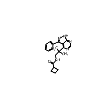 CC(C)(CNC(=O)C1CCC1)c1ncnc2[nH]nc(-c3ccccc3)c12